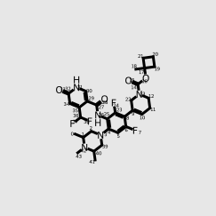 CC1CN(c2cc(F)c(C3=CCCN(C(=O)OC4(C)CCC4)C3)c(F)c2NC(=O)c2c[nH]c(=O)cc2C(F)F)CC(C)N1C